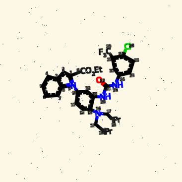 CCOC(=O)c1cc2ccccc2n1-c1ccc(N(CC(C)C)CC(C)C)c(NC(=O)Nc2ccc(Cl)c(C(F)(F)F)c2)c1